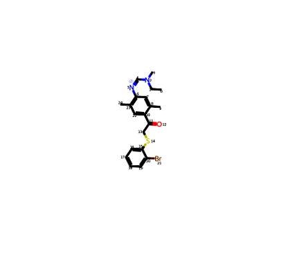 CCN(C)/C=N\c1cc(C)c(C(=O)CSc2ccccc2Br)cc1C